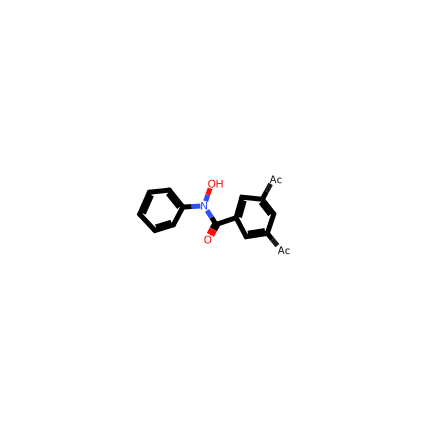 CC(=O)c1cc(C(C)=O)cc(C(=O)N(O)c2ccccc2)c1